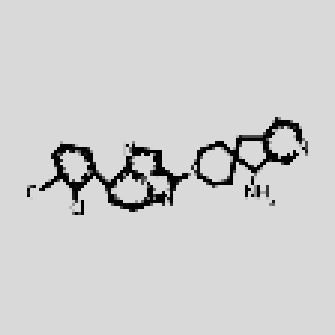 N[C@@H]1c2cnccc2CC12CCN(c1nc3ccc(-c4cccc(Cl)c4Cl)c4ncc1n34)CC2